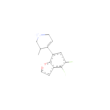 CC1CNCC=C1c1cc(F)c(F)c2ccoc12